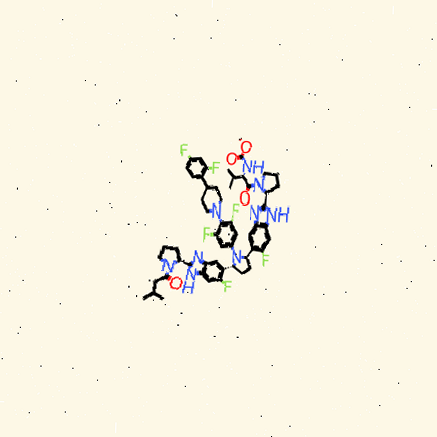 COC(=O)N[C@H](C(=O)N1CCC[C@H]1c1nc2cc([C@H]3CC[C@H](c4cc5nc([C@@H]6CCCN6C(=O)[CH]C(C)C)[nH]c5cc4F)N3c3cc(F)c(N4CCC(c5ccc(F)cc5F)CC4)c(F)c3)c(F)cc2[nH]1)C(C)C